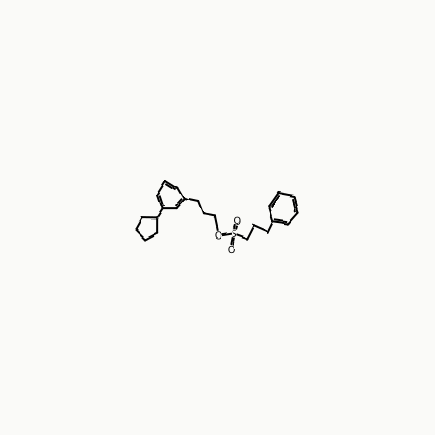 O=S(=O)(CCCc1ccccc1)OCCCc1cccc(C2CCCC2)c1